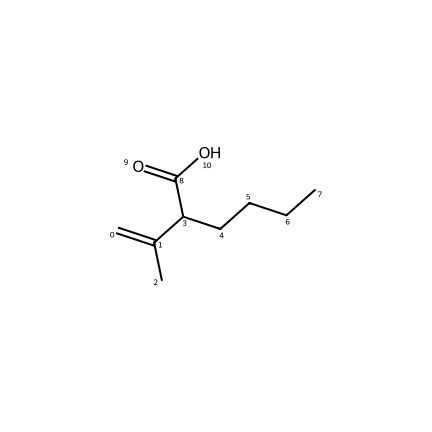 C=C(C)C(CCCC)C(=O)O